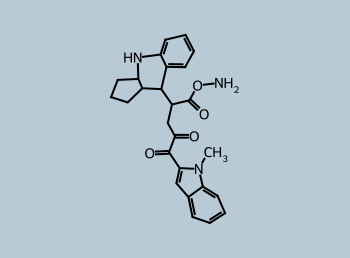 Cn1c(C(=O)C(=O)CC(C(=O)ON)C2c3ccccc3NC3CCCC32)cc2ccccc21